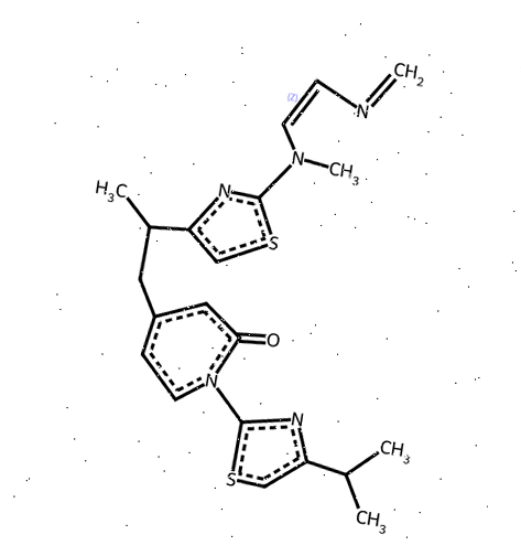 C=N/C=C\N(C)c1nc(C(C)Cc2ccn(-c3nc(C(C)C)cs3)c(=O)c2)cs1